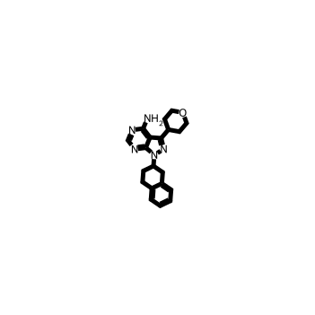 Nc1ncnc2c1c(C1CCOCC1)nn2C1CCc2ccccc2C1